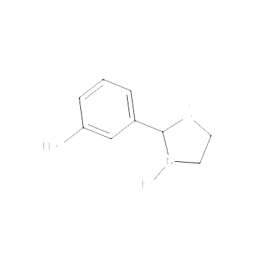 CCN1CCOC1c1cccc(C)c1